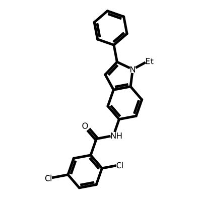 CCn1c(-c2ccccc2)cc2cc(NC(=O)c3cc(Cl)ccc3Cl)ccc21